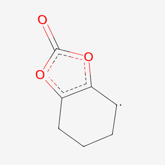 O=c1oc2c(o1)CCC[CH]2